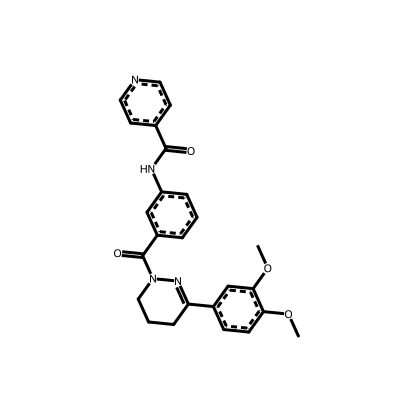 COc1ccc(C2=NN(C(=O)c3cccc(NC(=O)c4ccncc4)c3)CCC2)cc1OC